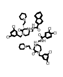 O=C(NC[C@@H]1CCN(Cc2cc(Cl)cc(Cl)c2)C(=O)[C@H](CCN2CCCCC2)N1)c1ccc(Cl)c(Cl)c1.O=C(NC[C@@H]1CCN(Cc2cc(Cl)cc(Cl)c2)C(=O)[C@H](CCN2CCCCC2)N1)c1ccc2ccccc2c1